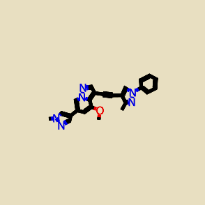 COc1cc(-c2cnn(C)c2)cn2ncc(C#Cc3cn(-c4ccccc4)nc3C)c12